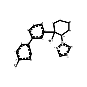 OC1(c2cccc(-c3ccc(Cl)cc3)c2)CCCCC1n1cncn1